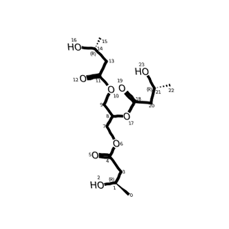 C[C@@H](O)CC(=O)OCC(COC(=O)C[C@@H](C)O)OC(=O)C[C@@H](C)O